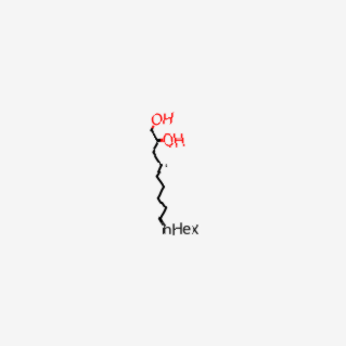 CCCCCCCCCCC[CH]CC(O)CO